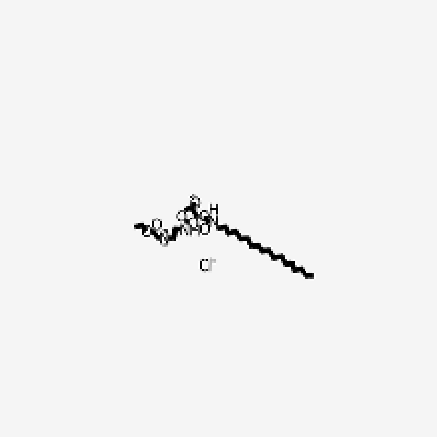 CCCCCCCCCCCCCCCCCCNC(=O)OC(OC(=O)NCC[N+](C)(C)CC(=O)OCC)C(C)OC.[Cl-]